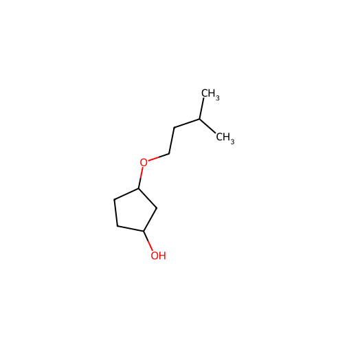 CC(C)CCOC1CCC(O)C1